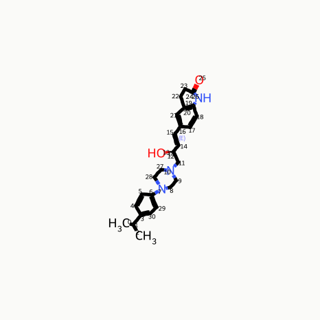 CC(C)c1ccc(N2CCN(C[C@@H](O)/C=C/c3ccc4c(c3)CCC(=O)N4)CC2)cc1